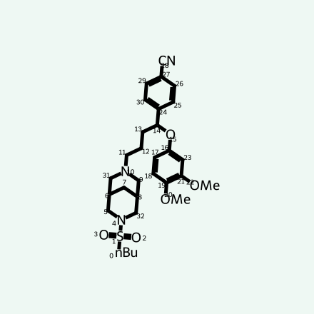 CCCCS(=O)(=O)N1CC2CC(CN(CCCC(Oc3ccc(OC)c(OC)c3)c3ccc(C#N)cc3)C2)C1